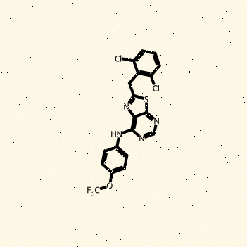 FC(F)(F)Oc1ccc(Nc2ncnc3sc(Cc4c(Cl)cccc4Cl)nc23)cc1